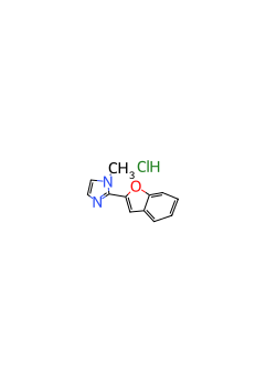 Cl.Cn1ccnc1-c1cc2ccccc2o1